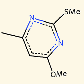 COc1cc(C)nc(SC)n1